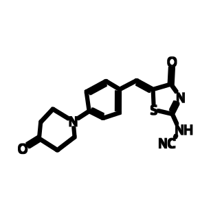 N#CNC1=NC(=O)C(=Cc2ccc(N3CCC(=O)CC3)cc2)S1